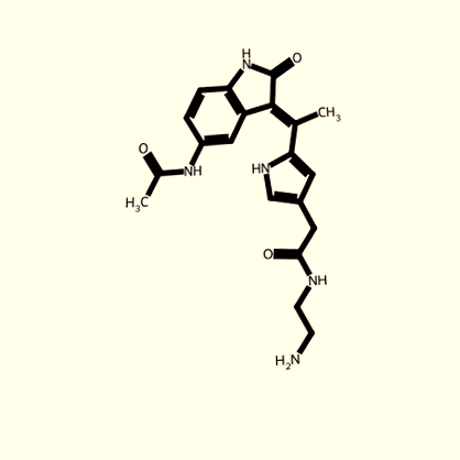 CC(=O)Nc1ccc2c(c1)C(=C(C)c1cc(CC(=O)NCCN)c[nH]1)C(=O)N2